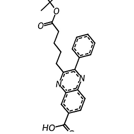 CC(C)(C)OC(=O)CCCCc1nc2cc(C(=O)O)ccc2nc1-c1ccccc1